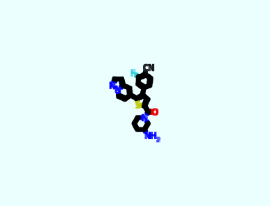 N#Cc1ccc(-c2cc(C(=O)N3CCCC(N)C3)sc2-c2ccn3nccc3c2)cc1F